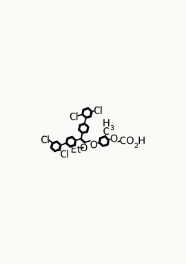 CCOC(COc1ccc(OCC(=O)O)c(C)c1)=C(c1ccc(-c2cc(Cl)ccc2Cl)cc1)c1ccc(-c2cc(Cl)ccc2Cl)cc1